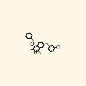 [CH2]c1nc(C)c2cc(Cc3cccc(Cl)c3)ccc2c1OCc1ccccc1